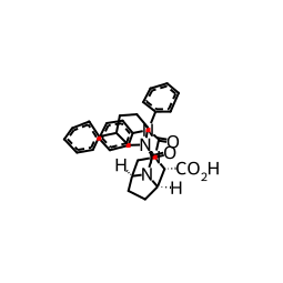 O=C(O)[C@@H]1[C@H]2CC[C@@H](CN1C(=O)N(c1ccccc1)c1ccccc1)N2C(=O)N1CCCC(c2ccccc2)C1